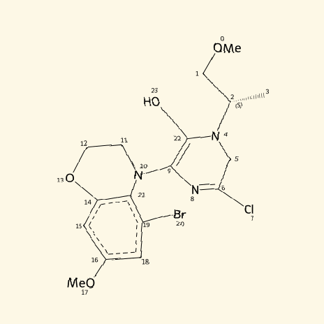 COC[C@H](C)N1CC(Cl)=NC(N2CCOc3cc(OC)cc(Br)c32)=C1O